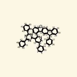 c1ccc(-c2cnc(-c3cccc4oc5cc6c(cc5c34)C(c3ccccc3)c3ccccc3-6)c(-c3nc(-c4ccccc4)nc(-c4ccccc4)n3)c2)cc1